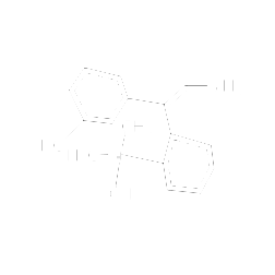 Cc1cccc(C(=C[SiH3])c2ccccc2[Si](C)(C)C)c1